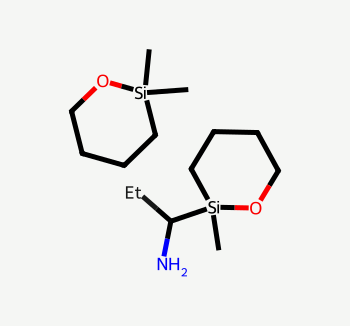 CCC(N)[Si]1(C)CCCCO1.C[Si]1(C)CCCCO1